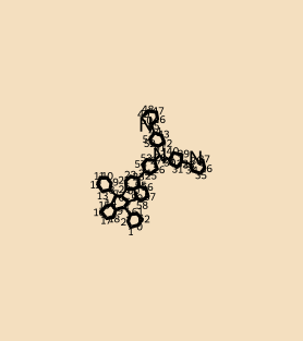 c1ccc(-c2c3c(c(-c4ccccc4)c4ccccc24)-c2ccc(-c4ccc(N(c5ccc(-c6ccccn6)cc5)c5ccc(-c6ccccn6)cc5)cc4)c4cccc-3c24)cc1